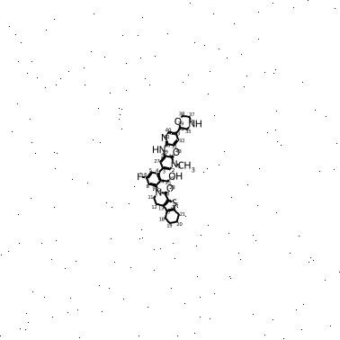 Cn1cc(-c2cc(F)cc(N3CCc4c(sc5c4CCCC5)C3=O)c2CO)cc(Nc2ccc(C3CNCCO3)cn2)c1=O